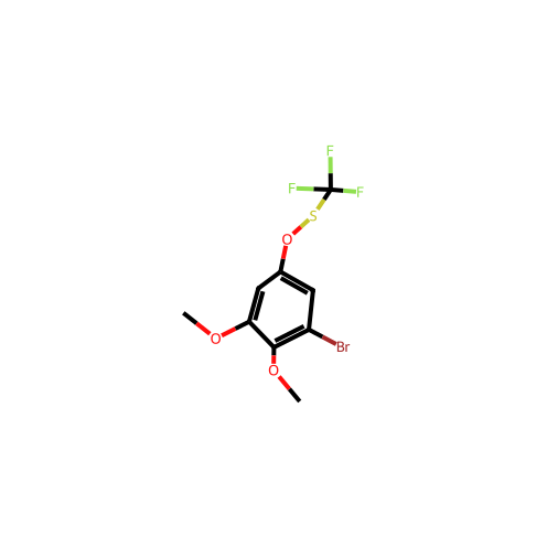 COc1cc(OSC(F)(F)F)cc(Br)c1OC